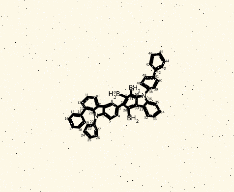 Bc1c(-c2ccc3c(c2)c2cccc(-c4ccccc4)c2n3-c2ccccc2)c(B)c2c3ccccc3n(-c3ccc(-c4ccccc4)cc3)c2c1B